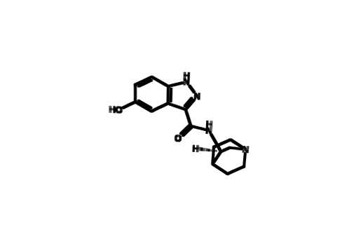 O=C(N[C@H]1CN2CCC1CC2)c1n[nH]c2ccc(O)cc12